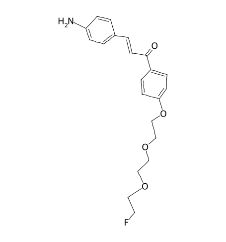 Nc1ccc(C=CC(=O)c2ccc(OCCOCCOCCF)cc2)cc1